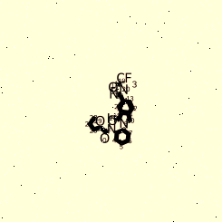 O=C(N[C@H]1CCCCC1N1Cc2ccc(-c3noc(C(F)(F)F)n3)cc2C1=O)C1CCCO1